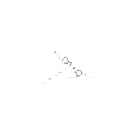 COC(=O)c1cc(OC)c2c(c1)nc(-c1cc3ccc(/C=N/SC(C)(C)C)nc3n1CCCCCCCC(=O)OC(C)(C)C)n2C